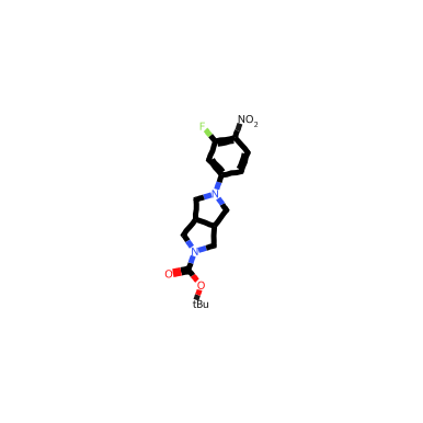 CC(C)(C)OC(=O)N1CC2CN(c3ccc([N+](=O)[O-])c(F)c3)CC2C1